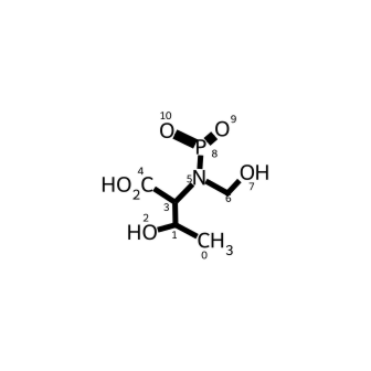 CC(O)C(C(=O)O)N(CO)P(=O)=O